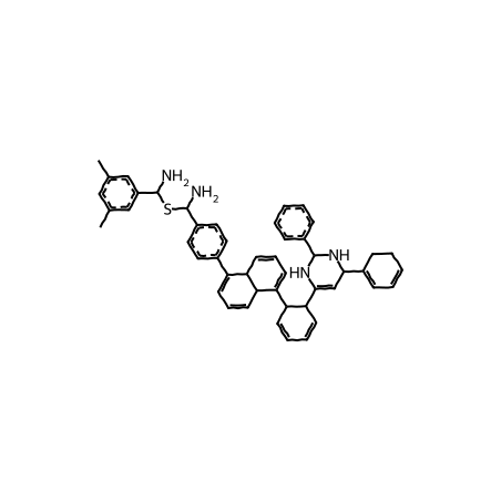 Cc1cc(C)cc(C(N)SC(N)c2ccc(C3=CC=CC4C(C5C=CC=CC5C5=CC(C6=CC=CCC6)NC(c6ccccc6)N5)=CC=CC34)cc2)c1